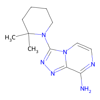 CC1(C)CCCCN1c1nnc2c(N)nccn12